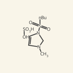 CCCCS(=O)(=O)N1C=CN(C)C1.O=S(=O)(O)O